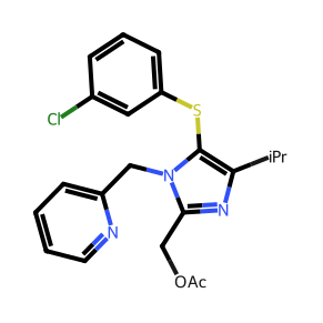 CC(=O)OCc1nc(C(C)C)c(Sc2cccc(Cl)c2)n1Cc1ccccn1